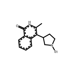 CCN1CCC(c2c(C)[nH]c(=O)c3ccccc23)C1